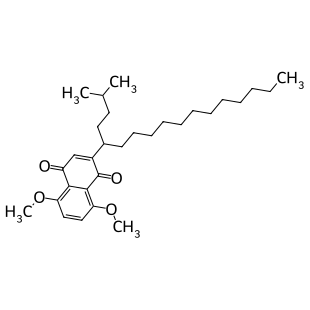 CCCCCCCCCCCCC(CCC(C)C)C1=CC(=O)c2c(OC)ccc(OC)c2C1=O